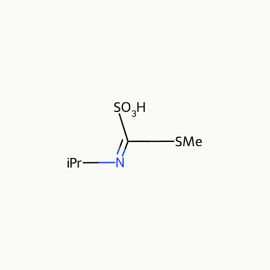 CS/C(=N/C(C)C)S(=O)(=O)O